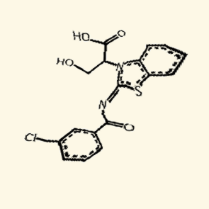 O=C(N=c1sc2ccccc2n1C(CO)C(=O)O)c1cccc(Cl)c1